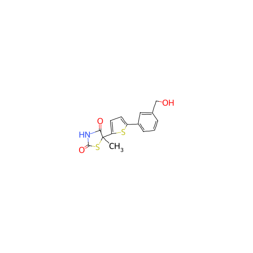 CC1(c2ccc(-c3cccc(CO)c3)s2)SC(=O)NC1=O